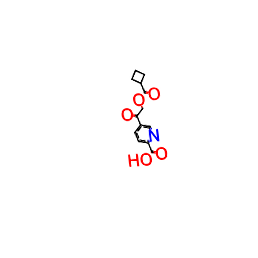 O=C(COC(=O)C1CCC1)c1ccc(C(=O)O)nc1